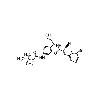 CCCC(NC(=O)/C(C#N)=C/c1cccc(Br)n1)c1ccc(NC(=O)OC(C)(C)C)cc1